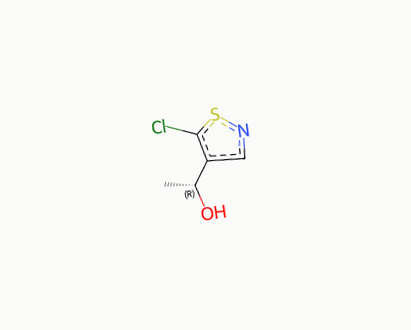 C[C@@H](O)c1cnsc1Cl